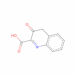 O=C(O)C1=Nc2ccccc2CC1=O